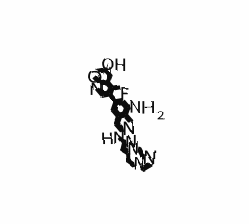 Cc1c(-c2cc3cc(Nc4cc5n(n4)Cc4nccn4CC5)ncc3c(N)c2F)cnc2c1C[C@@H](O)CO2